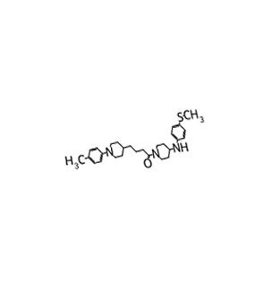 CSc1ccc(NC2CCN(C(=O)CCCC3CCN(c4ccc(C)cc4)CC3)CC2)cc1